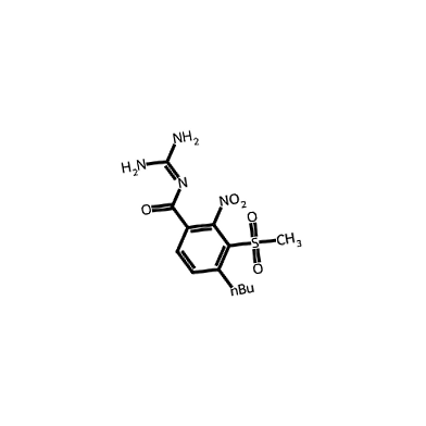 CCCCc1ccc(C(=O)N=C(N)N)c([N+](=O)[O-])c1S(C)(=O)=O